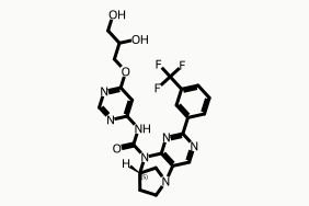 O=C(Nc1cc(OCC(O)CO)ncn1)N1c2nc(-c3cccc(C(F)(F)F)c3)ncc2N2CC[C@H]1C2